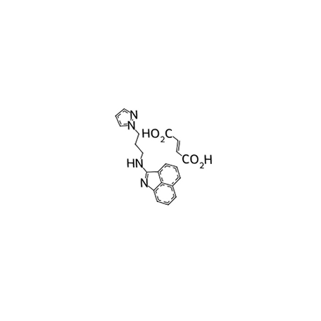 O=C(O)C=CC(=O)O.c1cc2c3c(cccc3c1)C(NCCCn1cccn1)=N2